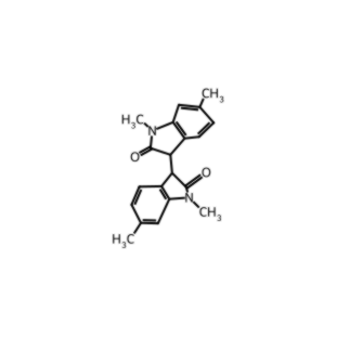 Cc1ccc2c(c1)N(C)C(=O)C2C1C(=O)N(C)c2cc(C)ccc21